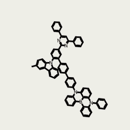 Cc1ccc2c(c1)c1ccccc1n2-c1ccc(-c2nc(-c3ccccc3)cc(-c3ccccc3)n2)cc1-c1ccc(-c2ccc(N3c4ccccc4B4c5ccccc5N(c5ccccc5)c5cccc3c54)cc2)cc1